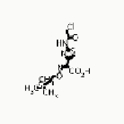 C[Si](C)(C)CCO/N=C(\C(=O)O)c1csc(NC(=O)CCl)n1